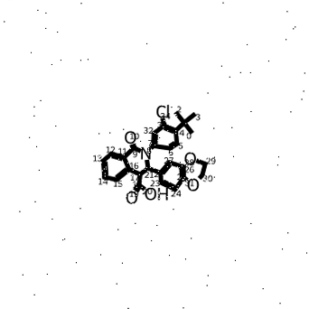 CC(C)(C)c1ccc(N2C(=O)c3ccccc3C(C(=O)O)C2c2ccc3c(c2)OCCO3)cc1Cl